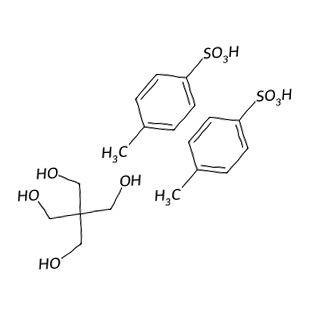 Cc1ccc(S(=O)(=O)O)cc1.Cc1ccc(S(=O)(=O)O)cc1.OCC(CO)(CO)CO